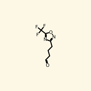 O=CCCCc1noc(C(F)(F)F)n1